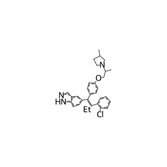 CC/C(=C(/c1ccc(OCC(C)N2CCC(C)C2)cc1)c1ccc2[nH]ncc2c1)c1ccccc1Cl